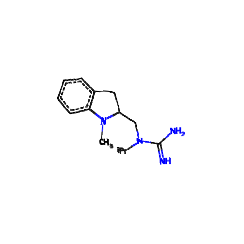 CC(C)N(CC1Cc2ccccc2N1C)C(=N)N